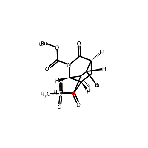 CC(C)(C)OC(=O)N1C(=O)[C@H]2C[C@H](C(N)=O)[C@H]1[C@H](OS(C)(=O)=O)[C@H]2Br